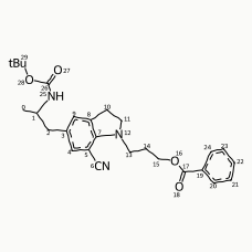 CC(Cc1cc(C#N)c2c(c1)CCN2CCCOC(=O)c1ccccc1)NC(=O)OC(C)(C)C